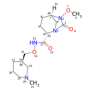 CON1C(=O)N2C[C@H]1CC[C@H]2C(=O)NOC[C@@H]1CCCN(C)C1